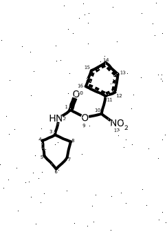 O=C(NC1CCCCC1)OC(c1ccccc1)[N+](=O)[O-]